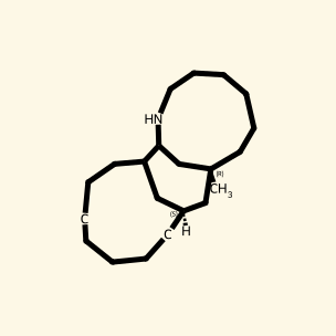 C[C@]12CCCCCCNC(C1)C1CCCCCCC[C@@H](C1)C2